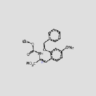 COc1ccc(/C=C(\NC(=O)OC(C)(C)C)C(=O)O)c(OCc2ccccc2)c1